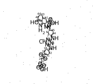 Nc1c(N=Nc2ccc(Nc3nc(Cl)nc(Nc4ccc(S(=O)(=O)CCOS(=O)(=O)O)cc4)n3)cc2)c(S(=O)(=O)O)cc2cccc(O)c12